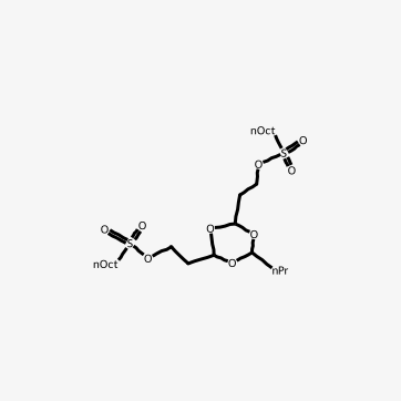 CCCCCCCCS(=O)(=O)OCCC1OC(CCC)OC(CCOS(=O)(=O)CCCCCCCC)O1